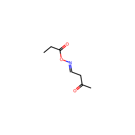 CCC(=O)ON=CCC(C)=O